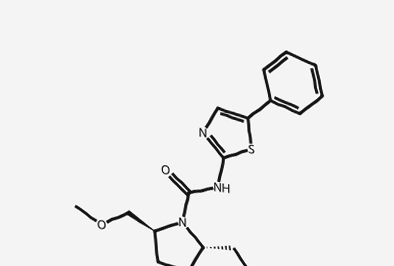 COC[C@@H]1CC[C@@H](COC)N1C(=O)Nc1ncc(-c2ccccc2)s1